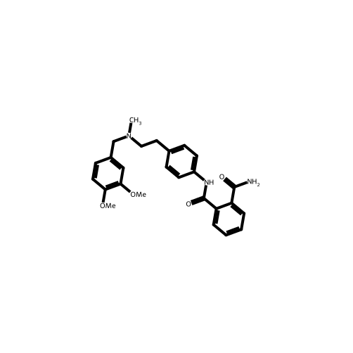 COc1ccc(CN(C)CCc2ccc(NC(=O)c3ccccc3C(N)=O)cc2)cc1OC